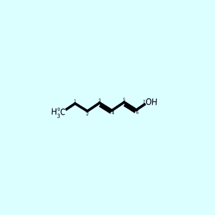 CCCC=CC=CO